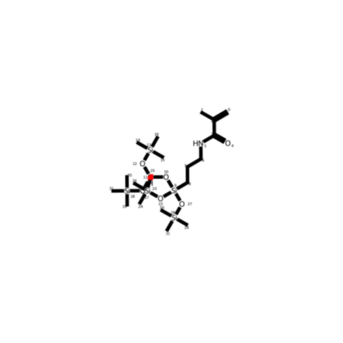 C=C(C)C(=O)NCCC[Si](O[SiH](O[Si](C)(C)C)O[Si](C)(C)C)(O[Si](C)(C)C)O[Si](C)(C)C